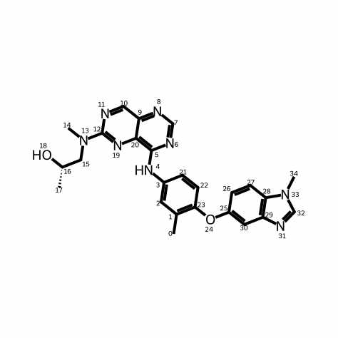 Cc1cc(Nc2ncnc3cnc(N(C)C[C@H](C)O)nc23)ccc1Oc1ccc2c(c1)ncn2C